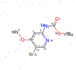 CCCOc1cc(NC(=O)OC(C)(C)C)ncc1Br